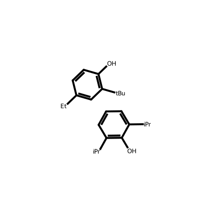 CC(C)c1cccc(C(C)C)c1O.CCc1ccc(O)c(C(C)(C)C)c1